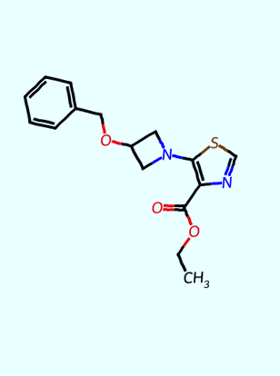 CCOC(=O)c1ncsc1N1CC(OCc2ccccc2)C1